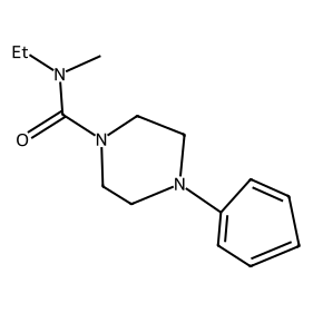 CCN(C)C(=O)N1CCN(c2ccccc2)CC1